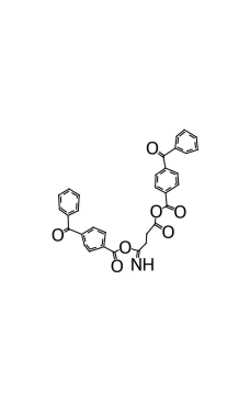 N=C(CCC(=O)OC(=O)c1ccc(C(=O)c2ccccc2)cc1)OC(=O)c1ccc(C(=O)c2ccccc2)cc1